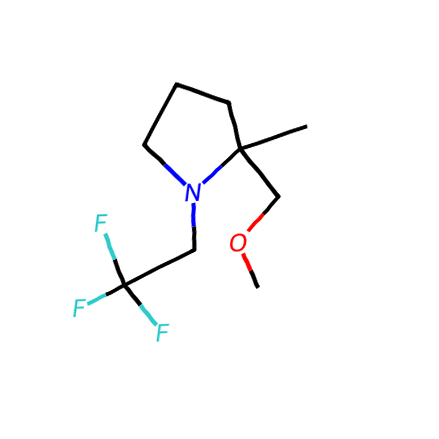 COCC1(C)CCCN1CC(F)(F)F